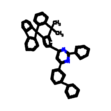 CC1(C)c2ccccc2C2(c3ccccc3-c3ccccc32)c2ccc(-c3cc(-c4cccc(-c5ccccc5)c4)nc(-c4ccccc4)n3)cc21